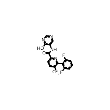 O=C(Nc1cncnc1O)c1ccc(C(F)(F)F)c(-c2c(F)cccc2F)n1